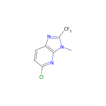 Cn1c(C(F)(F)F)nc2ccc(Cl)nc21